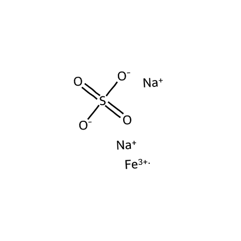 O=S(=O)([O-])[O-].[Fe+3].[Na+].[Na+]